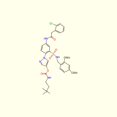 COc1ccc(CNS(=O)(=O)c2cc(NC(=O)Cc3ccccc3Cl)ccc2-n2cc(OC(=O)NCC[Si](C)(C)C)cn2)c(OC)c1